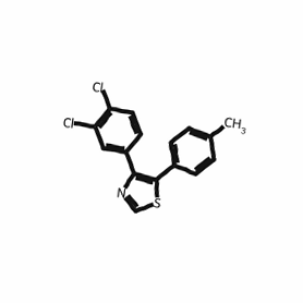 Cc1ccc(-c2scnc2-c2ccc(Cl)c(Cl)c2)cc1